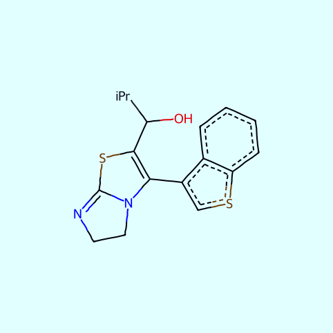 CC(C)C(O)C1=C(c2csc3ccccc23)N2CCN=C2S1